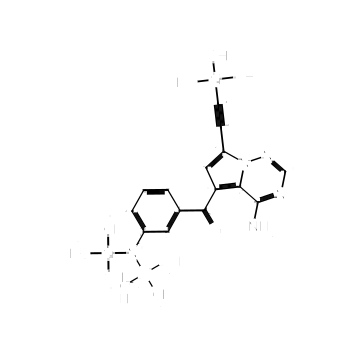 C[Si](C)(C)C#Cc1cc(C(=O)c2cccc(N([Si](C)(C)C)[Si](C)(C)C)c2)c2c(N)ncnn12